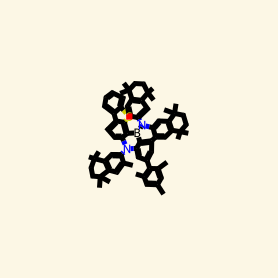 Cc1cc(C)c(-c2cc3c4c(c2)N(c2cc5c(cc2C)C(C)(C)CCC5(C)C)c2ccc5c(sc6ccccc65)c2B4N(c2ccc4c(c2)C(C)(C)CCC4(C)C)c2cc4c(cc2-3)C(C)(C)CCC4(C)C)c(C)c1